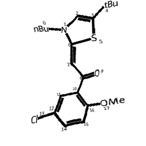 CCCCN1C=C(C(C)(C)C)S/C1=C\C(=O)c1cc(Cl)ccc1OC